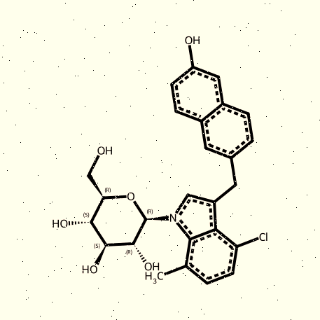 Cc1ccc(Cl)c2c(Cc3ccc4cc(O)ccc4c3)cn([C@@H]3O[C@H](CO)[C@@H](O)[C@H](O)[C@H]3O)c12